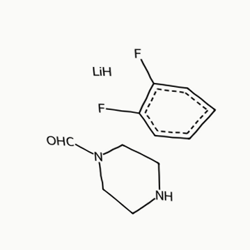 Fc1ccccc1F.O=CN1CCNCC1.[LiH]